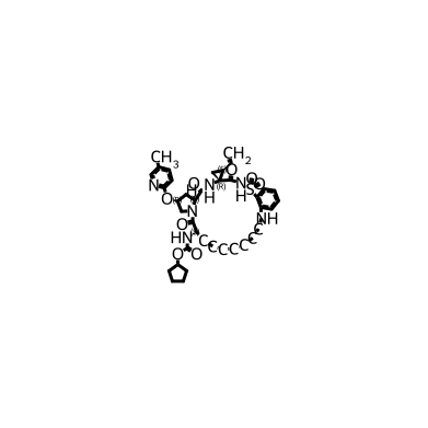 C=C[C@@H]1C[C@@]12NC(=O)[C@@H]1C[C@@H](Oc3ccc(C)cn3)CN1C(=O)[C@@H](NC(=O)OC1CCCC1)CCCCCCCNc1ccccc1S(=O)(=O)NC2=O